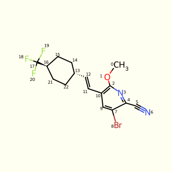 COc1nc(C#N)c(Br)cc1/C=C/[C@H]1CC[C@H](C(F)(F)F)CC1